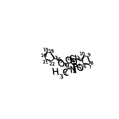 C[C@H](N=[P+]([O-])Oc1ccccc1Cl)C(=O)OCc1ccccc1